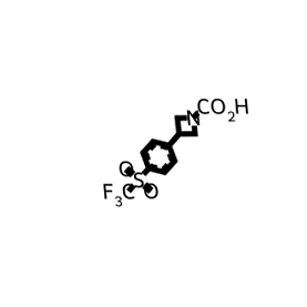 O=C(O)N1CC(c2ccc(S(=O)(=O)C(F)(F)F)cc2)C1